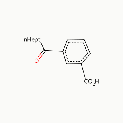 CCCCCCCC(=O)c1cccc(C(=O)O)c1